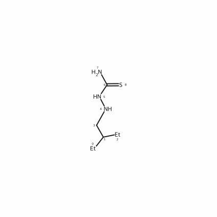 CCC(CC)CNNC(N)=S